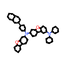 c1ccc(N(c2ccccc2)c2ccc3oc4cc(N(c5ccc(-c6ccc7ccccc7c6)cc5)c5ccc6c(c5)oc5ccccc56)ccc4c3c2)cc1